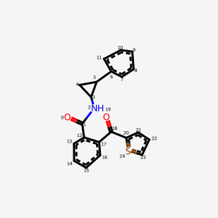 O=C(NC1CC1c1ccccc1)c1ccccc1C(=O)c1cccs1